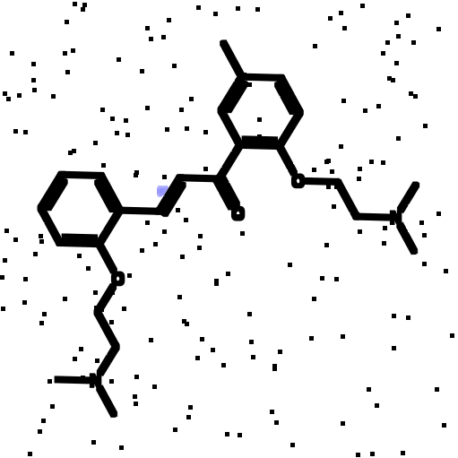 Cc1ccc(OCCN(C)C)c(C(=O)/C=C/c2ccccc2OCCN(C)C)c1